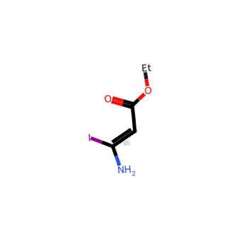 CCOC(=O)/C=C(/N)I